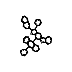 c1ccc(-c2c3ccccc3c(-c3c4oc(-c5ccc6ccccc6c5)c(-c5ccccc5)c4cc4c3sc3ccccc34)c3ccccc23)cc1